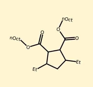 CCCCCCCCOC(=O)C1C(CC)CC(CC)C1C(=O)OCCCCCCCC